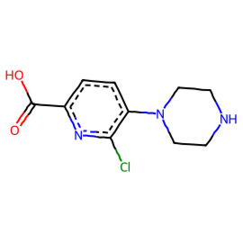 O=C(O)c1ccc(N2CCNCC2)c(Cl)n1